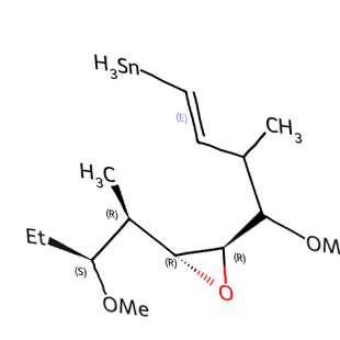 CC[C@H](OC)[C@@H](C)[C@H]1O[C@@H]1C(OC)C(C)/C=[CH]/[SnH3]